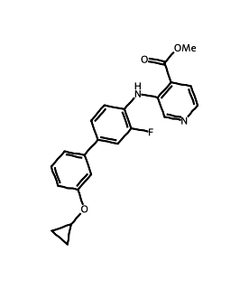 COC(=O)c1ccncc1Nc1ccc(-c2cccc(OC3CC3)c2)cc1F